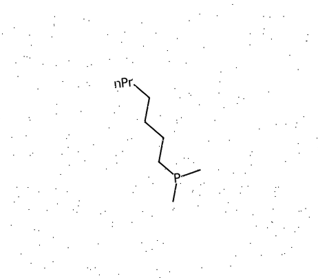 CCCCCCCP(C)C